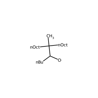 CCCCCCCCC(C)(CCCCCCCC)C([O])CCCC